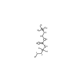 CCCC(C)(C)SC(=O)OCC[N+](C)(C)C